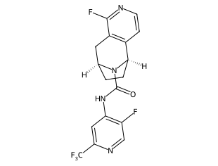 O=C(Nc1cc(C(F)(F)F)ncc1F)N1[C@H]2CC[C@@H]1c1ccnc(F)c1C2